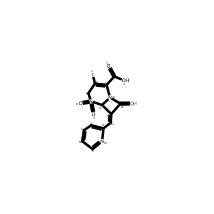 O=C(O)C1=C(I)CS(=O)(=O)C2/C(=C\c3ccccn3)C(=O)N12